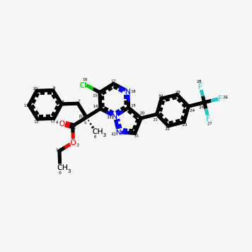 CCOC(=O)[C@@](C)(Cc1ccccc1)c1c(Cl)cnc2c(-c3ccc(C(F)(F)F)cc3)cnn12